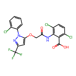 O=C(COc1cc(C(F)(F)F)nn1-c1ccccc1Cl)Nc1c(Cl)ccc(Cl)c1C(=O)O